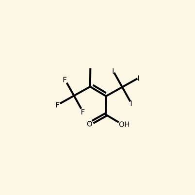 C/C(=C(/C(=O)O)C(I)(I)I)C(F)(F)F